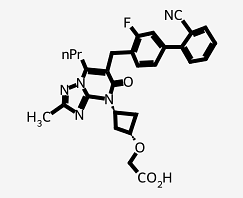 CCCc1c(Cc2ccc(-c3ccccc3C#N)cc2F)c(=O)n([C@H]2C[C@@H](OCC(=O)O)C2)c2nc(C)nn12